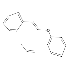 C(=Cc1ccccc1)Oc1ccccc1.C=CC